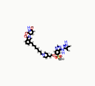 Cc1[nH]nc(Nc2ncnc3cc(OCCC4CCN(CCCCCCCCc5cccc6c5CN([C@H]5CCC(=O)NC5=O)C6=O)CC4)c(S(=O)(=O)C(C)(C)C)cc23)c1C